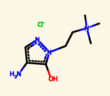 C[N+](C)(C)CCn1ncc(N)c1O.[Cl-]